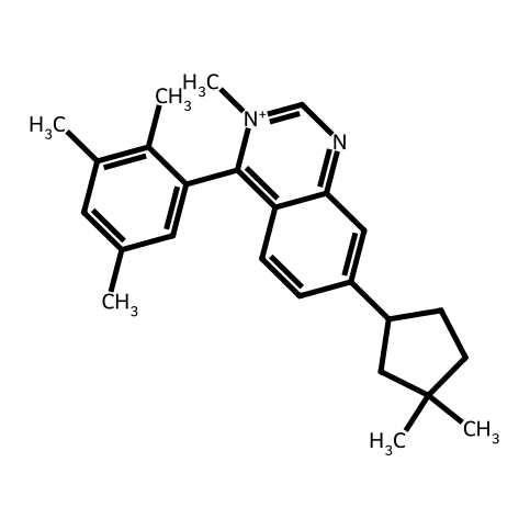 Cc1cc(C)c(C)c(-c2c3ccc(C4CCC(C)(C)C4)cc3nc[n+]2C)c1